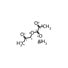 CC(=O)COC(=O)C(C)=O.[AlH3]